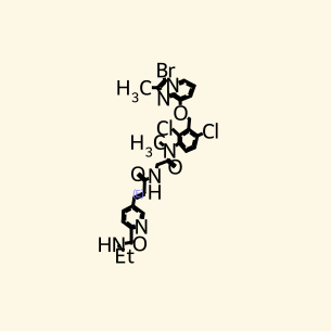 CCNC(=O)c1ccc(/C=C/C(=O)NCC(=O)N(C)c2ccc(Cl)c(COc3cccn4c(Br)c(C)nc34)c2Cl)cn1